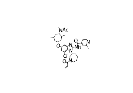 C=CC(=O)N1CCCC[C@@H](n2c(NC(=O)c3ccnc(C)c3)nc3cc(O[C@H]4CC(C)C[C@H](N(C)C(C)=O)C(C)C4)cc(Cl)c32)C1